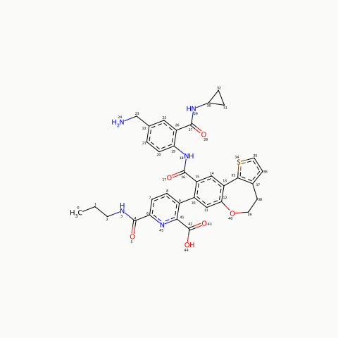 CCCNC(=O)c1ccc(-c2cc3c(cc2C(=O)Nc2ccc(CN)cc2C(=O)NC2CC2)-c2sccc2CCO3)c(C(=O)O)n1